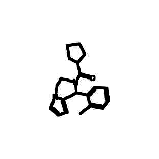 Cc1ccccc1C1c2cccn2CCN1C(=O)C1CCCC1